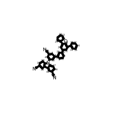 N#Cc1cc(-c2cccc(-c3cc(-c4ccccc4)c4oc5ccccc5c4c3)c2)cc(-n2c3ccc(C#N)cc3c3cc(C#N)ccc32)c1